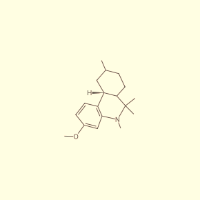 COc1ccc2c(c1)N(C)C(C)(C)C1CCC(C)C[C@@H]21